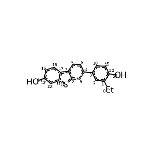 CCc1cc(-c2ccc3c(c2)sc2cc(O)ccc23)ccc1O